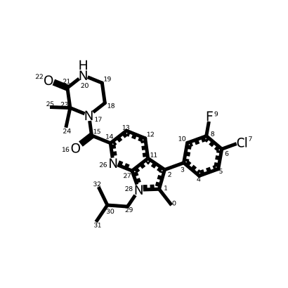 Cc1c(-c2ccc(Cl)c(F)c2)c2ccc(C(=O)N3CCNC(=O)C3(C)C)nc2n1CC(C)C